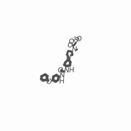 CN(C(=O)CS(C)(=O)=O)C1CCN(c2ccc(NC(=O)Nc3ccc(Oc4ccccc4)cc3)cc2)C1